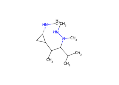 CN[C@H]1CC1C(C)C(C(C)C)N(C)NC